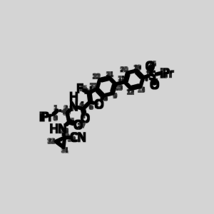 CC(C)C[C@H](NC(=O)c1oc2cc(-c3ccc(S(=O)(=O)C(C)C)cc3)ccc2c1F)C(=O)NC1(C#N)CC1